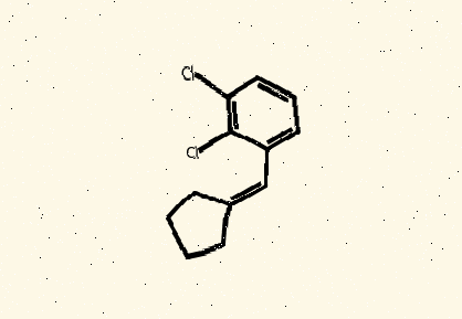 Clc1cccc(C=C2CCCC2)c1Cl